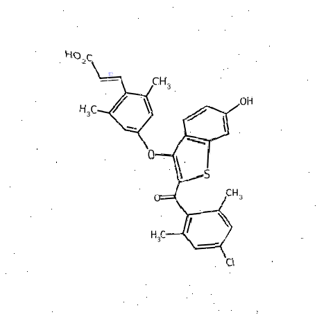 Cc1cc(Oc2c(C(=O)c3c(C)cc(Cl)cc3C)sc3cc(O)ccc23)cc(C)c1/C=C/C(=O)O